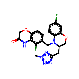 Cn1nnc(C[C@@H]2COc3cc(F)ccc3N2Cc2ccc3c(c2F)NC(=O)CO3)n1